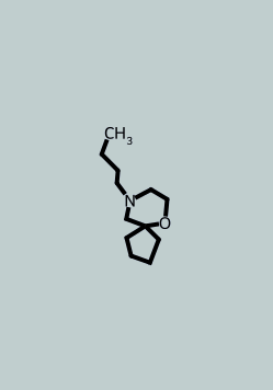 CCCCN1CCOC2(CCCC2)C1